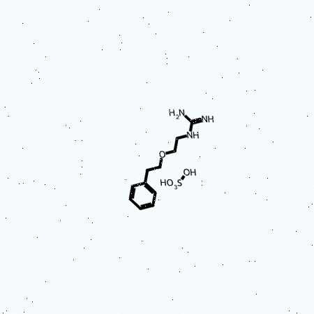 N=C(N)NCCOCCc1ccccc1.O=S(=O)(O)O